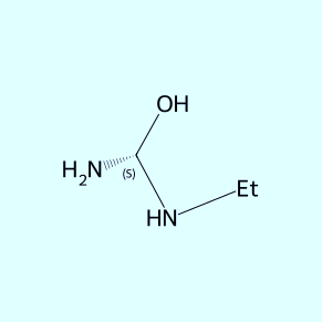 CCN[C@H](N)O